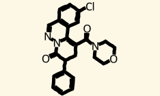 O=C(C1=C2c3cc(Cl)ccc3C=NN2C(=O)C(c2ccccc2)C1)N1CCOCC1